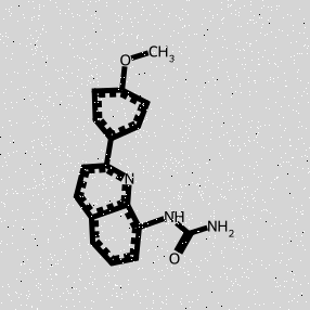 COc1ccc(-c2ccc3cccc(NC(N)=O)c3n2)cc1